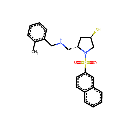 Cc1ccccc1CNC[C@@H]1C[C@@H](S)CN1S(=O)(=O)c1ccc2ccccc2c1